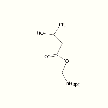 CCCCCCCCOC(=O)CC(O)C(F)(F)F